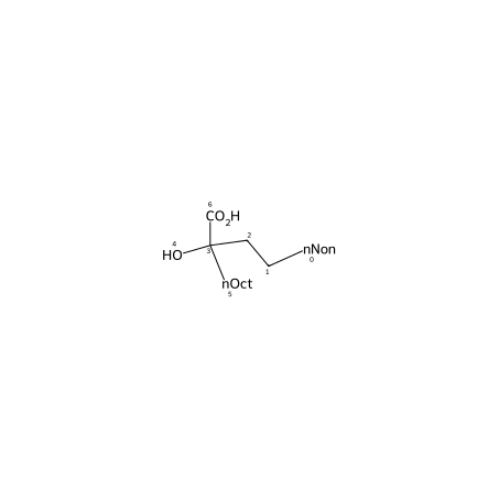 CCCCCCCCCCCC(O)(CCCCCCCC)C(=O)O